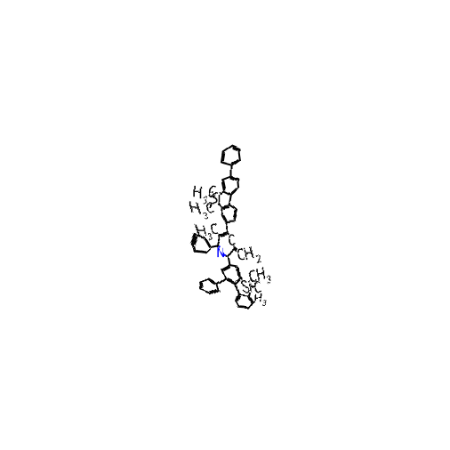 C=C1CC(c2ccc3c(c2)[Si](C)(C)c2cc(-c4ccccc4)ccc2-3)=C(C)C(c2ccccc2)=NC1c1cc(-c2ccccc2)c2c(c1)[Si](C)(C)c1ccccc1-2